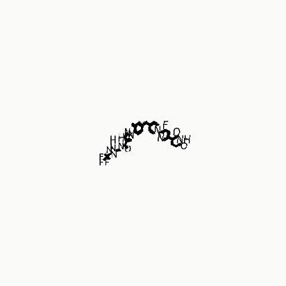 Cc1cc(CC2CCN(c3ncc(C4CCC(=O)NC4=O)cc3F)CC2)ccc1-n1cc(C(=O)NCc2nc(C(C)(C)C(F)(F)F)n[nH]2)cn1